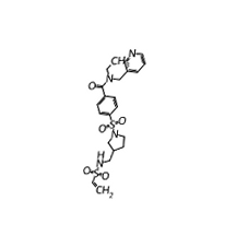 C=CS(=O)(=O)NCC1CCN(S(=O)(=O)c2ccc(C(=O)N(CC)Cc3cccnc3)cc2)C1